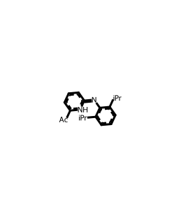 CC(=O)c1cccc(=Nc2c(C(C)C)cccc2C(C)C)[nH]1